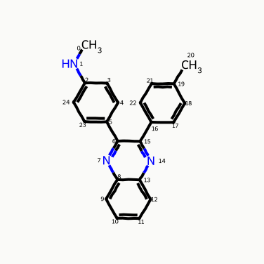 CNc1ccc(-c2nc3ccccc3nc2-c2ccc(C)cc2)cc1